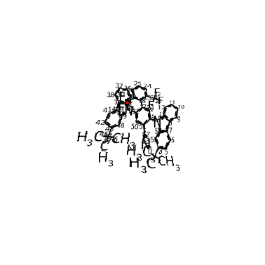 CC(C)(C)c1ccc2c3ccccc3n(-c3cc(-c4c(C(F)(F)F)cccc4C(F)(F)F)c(-n4c5ccccc5c5ccc(C(C)(C)C)cc54)cc3C#N)c2c1